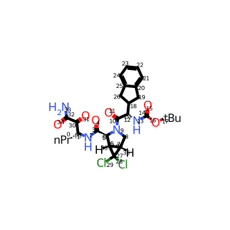 CCC[C@@H](NC(=O)[C@@H]1[C@@H]2[C@H](CN1C(=O)[C@@H](NC(=O)OC(C)(C)C)C1Cc3ccccc3C1)C2(Cl)Cl)C(=O)C(N)=O